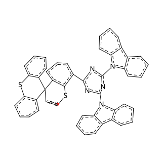 c1ccc2c(c1)Sc1ccccc1C21c2ccccc2Sc2c(-c3nc(-n4c5ccccc5c5ccccc54)nc(-n4c5ccccc5c5ccccc54)n3)cccc21